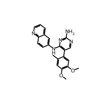 COc1cc(C)c(-c2cnc(N)nc2Nc2ccc3ncccc3c2)cc1OC